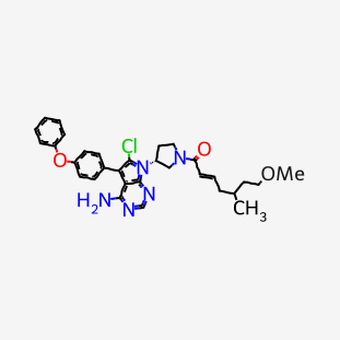 COCCC(C)C/C=C/C(=O)N1CC[C@@H](n2c(Cl)c(-c3ccc(Oc4ccccc4)cc3)c3c(N)ncnc32)C1